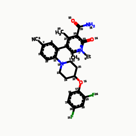 CCn1c(C)c(-c2cc(C#N)ccc2N2CCC(Oc3ccc(F)cc3F)CC2)c(C)c(C(N)=O)c1=O